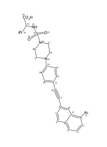 CC(=O)c1cccc2ccc(C#Cc3ccc(N4CCN(S(=O)(=O)NC(C(=O)O)C(C)C)CC4)cc3)cc12